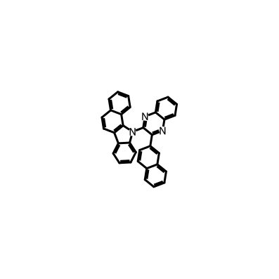 c1ccc2cc(-c3nc4ccccc4nc3-n3c4ccccc4c4ccc5ccccc5c43)ccc2c1